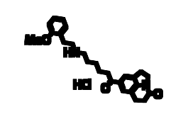 COc1ccccc1CCNCCCCCC(=O)c1cc2c3c(c1)CCN3C(=O)CC2.Cl